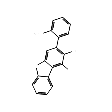 COc1ccccc1-c1cc2sc3ccccc3c2c(C)c1C